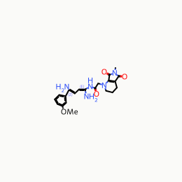 COc1cccc(/C(N)=C/C=C(\N)NC(=O)CN2CCCC3=C2C(=O)N(C)C3=O)c1